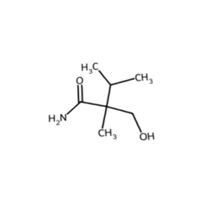 CC(C)C(C)(CO)C(N)=O